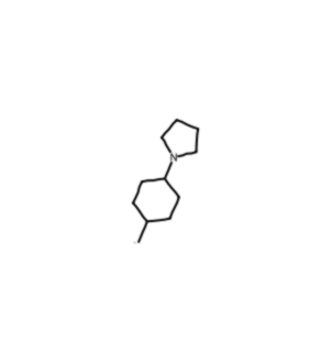 [CH2]C1CCC(N2CCCC2)CC1